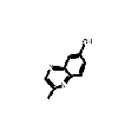 Cc1cnc2cc(O)ccc2n1